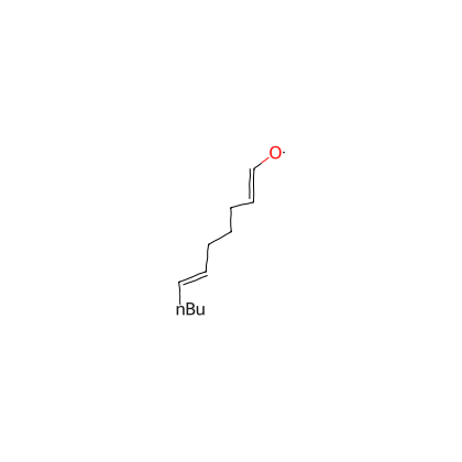 CCCCC=CCCCC=C[O]